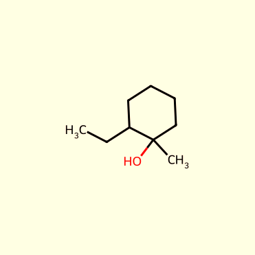 CCC1CCCCC1(C)O